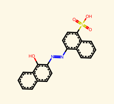 O=S(=O)(O)c1ccc(N=Nc2ccc3ccccc3c2O)c2ccccc12